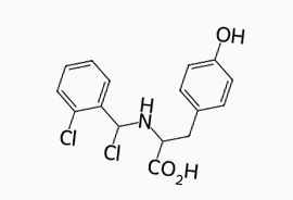 O=C(O)C(Cc1ccc(O)cc1)NC(Cl)c1ccccc1Cl